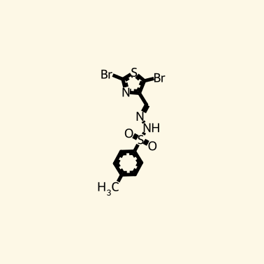 Cc1ccc(S(=O)(=O)NN=Cc2nc(Br)sc2Br)cc1